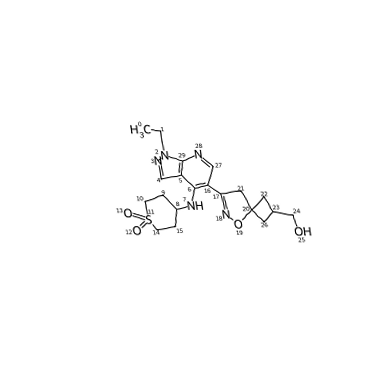 CCn1ncc2c(NC3CCS(=O)(=O)CC3)c(C3=NOC4(C3)CC(CO)C4)cnc21